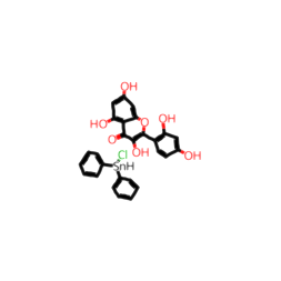 O=c1c(O)c(-c2ccc(O)cc2O)oc2cc(O)cc(O)c12.[Cl][SnH]([c]1ccccc1)[c]1ccccc1